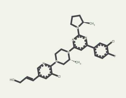 C[C@@H]1CN(c2ncc(C=CCO)cc2Cl)CCN1c1cc(-c2ccc(F)c(Cl)c2)nc(N2CCC[C@H]2C)n1